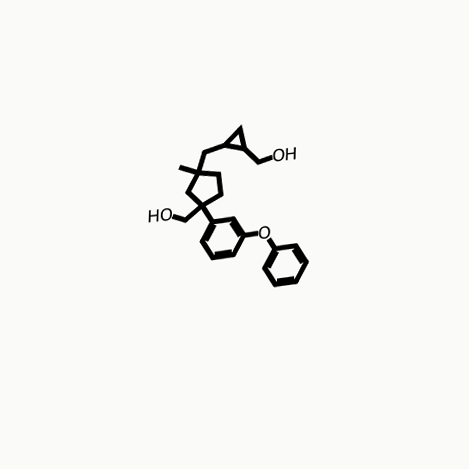 CC1(CC2CC2CO)CCC(CO)(c2cccc(Oc3ccccc3)c2)C1